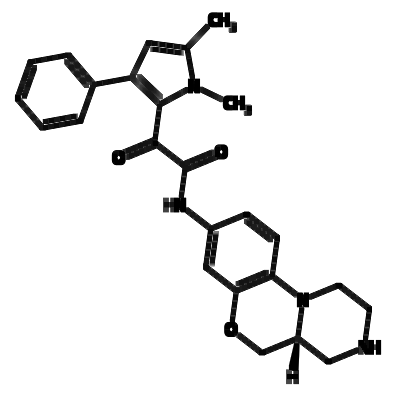 Cc1cc(-c2ccccc2)c(C(=O)C(=O)Nc2ccc3c(c2)OC[C@H]2CNCCN32)n1C